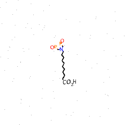 O=PCN(CCCCCCCCCCC(=O)O)CP=O